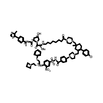 Cc1ncsc1-c1ccc([C@H](C)NC(=O)[C@@H]2C[C@@H](O)CN2C(=O)[C@@H](NCCCCCCCC(=O)N2CCN(CC3(C)CCC(c4ccc(Cl)cc4)=C(CN4CCN(c5ccc(C(=O)NS(=O)(=O)c6ccc(N[C@H](CCN7CCC7)CSc7ccccc7)c([N+](=O)[O-])c6)cc5)CC4)C3)CC2)C(C)(C)C)cc1